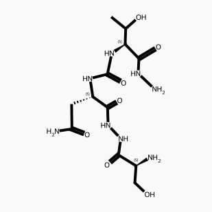 CC(O)[C@H](NC(=O)N[C@@H](CC(N)=O)C(=O)NNC(=O)[C@@H](N)CO)C(=O)NN